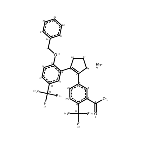 O=C([O-])c1cc(C2=C(c3cc(C(F)(F)F)ccc3OCc3ccccc3)CCC2)cnc1C(F)(F)F.[Na+]